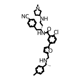 Cc1ccc([C@@H](C)NCc2ccc(-c3ccc(Cl)c(C(=O)N[C@@H](CCN[C@H]4CCN(C)C4)Cc4ccc(C#N)cc4)c3)o2)cc1